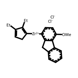 CCC1=CC[C]([Zr+2][c]2ccc(OC)c3c2Cc2ccccc2-3)=C1CC.[Cl-].[Cl-]